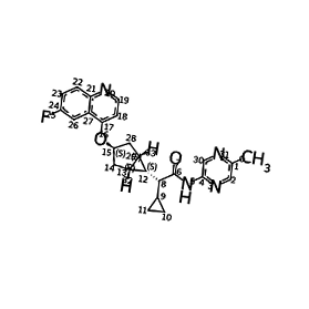 Cc1cnc(NC(=O)C(C2CC2)[C@@H]2[C@@H]3C[C@@H](Oc4ccnc5ccc(F)cc45)C[C@@H]32)cn1